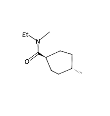 CCN(C)C(=O)[C@H]1CC[C@H](C)CC1